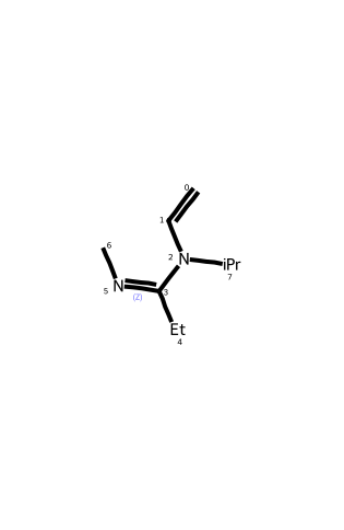 C=CN(/C(CC)=N\C)C(C)C